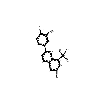 Cc1cc(-c2ccc3cc(F)cc(C(F)(F)F)c3n2)ccc1N